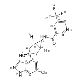 O=C(NC1[C@H]2C[C@](O)(c3cc(Cl)cc4[nH]ncc34)C[C@@H]12)c1cncc(C(F)(F)F)c1